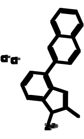 CC1=Cc2c(-c3ccc4ccccc4c3)cccc2[CH]1[Zr+2].[Cl-].[Cl-]